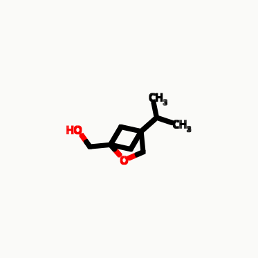 CC(C)C12COC(CO)(C1)C2